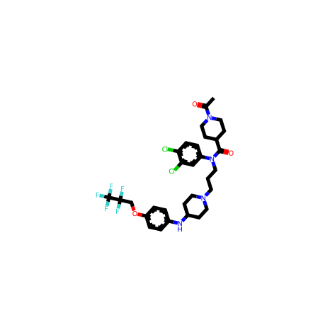 CC(=O)N1CCC(C(=O)N(CCCN2CCC(Nc3ccc(OCC(F)(F)C(F)(F)F)cc3)CC2)c2ccc(Cl)c(Cl)c2)CC1